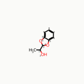 CC(O)C1Oc2ccccc2O1